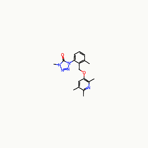 Cc1cc(OCc2c(C)cccc2-n2nnn(C)c2=O)c(C)nc1C